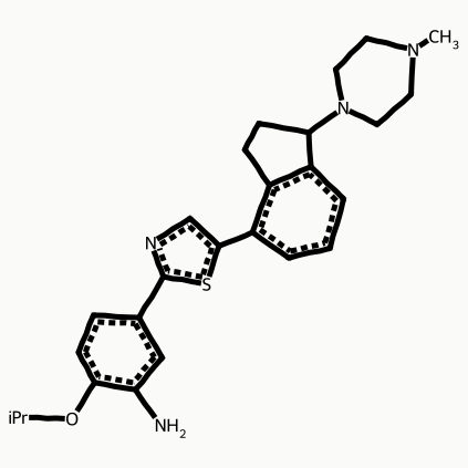 CC(C)Oc1ccc(-c2ncc(-c3cccc4c3CCC4N3CCN(C)CC3)s2)cc1N